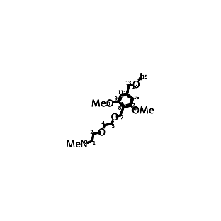 CNCCOCCOCc1c(OC)cc(COI)cc1OC